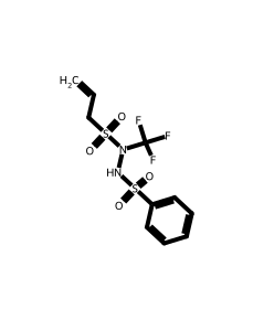 C=CCS(=O)(=O)N(NS(=O)(=O)c1ccccc1)C(F)(F)F